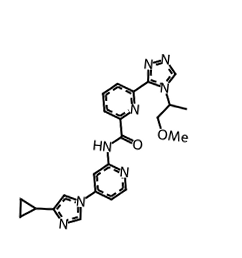 COCC(C)n1cnnc1-c1cccc(C(=O)Nc2cc(-n3cnc(C4CC4)c3)ccn2)n1